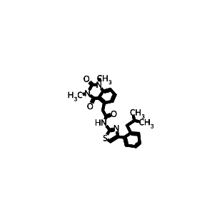 CC(C)Cc1ccccc1-c1csc(NC(=O)Cc2cccc3c2c(=O)n(C)c(=O)n3C)n1